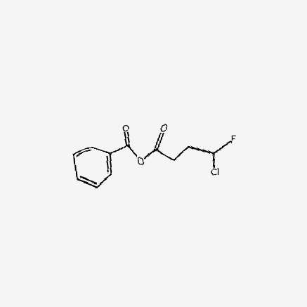 O=C(CCC(F)Cl)OC(=O)c1ccccc1